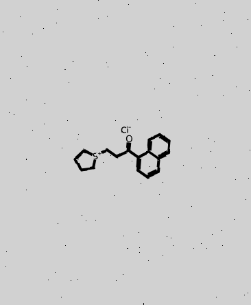 O=C(CC[S+]1CCCC1)c1cccc2ccccc12.[Cl-]